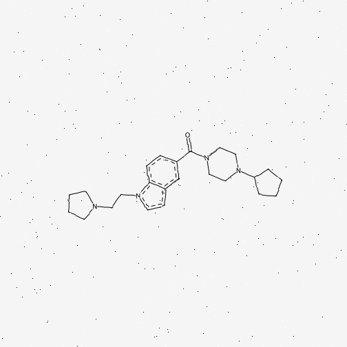 O=C(c1ccc2c(ccn2CCN2CCCC2)c1)N1CCN(C2CCCC2)CC1